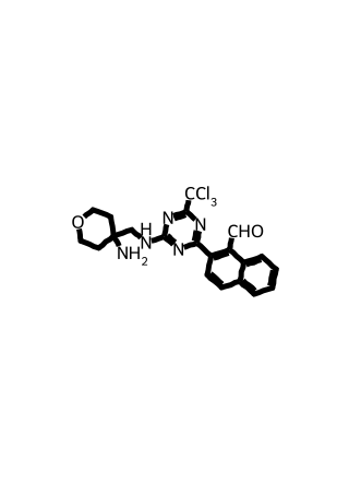 NC1(CNc2nc(-c3ccc4ccccc4c3C=O)nc(C(Cl)(Cl)Cl)n2)CCOCC1